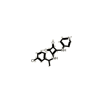 CC(Nc1c(Nc2ccncc2)c(=O)c1=O)c1cccc(Cl)c1